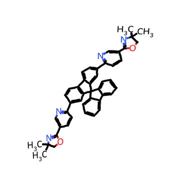 CC1(C)COC(c2ccc(-c3ccc4c(c3)C3(c5ccccc5-c5ccccc53)c3cc(-c5ccc(C6=NC(C)(C)CO6)cn5)ccc3-4)nc2)=N1